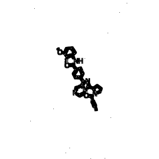 CC#CC(=O)N1CCCC1c1nc(-c2ccc(C(=O)Nc3cccc(OC)c3F)cc2)c2cnccn12